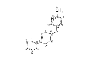 Cc1ncc(CN2CC=C(c3cccnc3)CC2)cn1